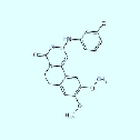 COc1cc2c(cc1OC)-c1cc(Nc3cccc(Cl)c3)nc(=O)n1CC2